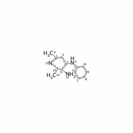 Cc1cc(Nc2c[c]ccc2)c(N)c(C)n1